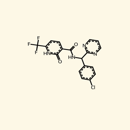 O=C(NC(c1ccc(Cl)cc1)c1ncccn1)c1ccc(C(F)(F)F)[nH]c1=O